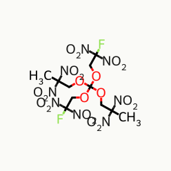 CC(COC(OCC(C)([N+](=O)[O-])[N+](=O)[O-])(OCC(F)([N+](=O)[O-])[N+](=O)[O-])OCC(F)([N+](=O)[O-])[N+](=O)[O-])([N+](=O)[O-])[N+](=O)[O-]